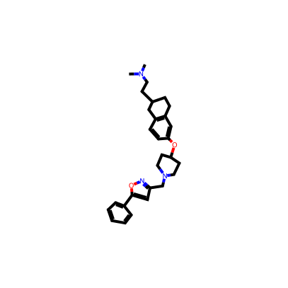 CN(C)CCC1CCc2cc(OC3CCN(Cc4cc(-c5ccccc5)on4)CC3)ccc2C1